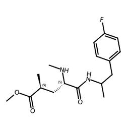 CN[C@@H](C[C@H](C)C(=O)OC)C(=O)NC(C)Cc1ccc(F)cc1